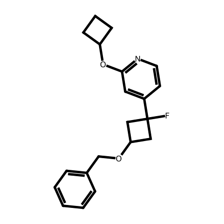 FC1(c2ccnc(OC3CCC3)c2)CC(OCc2ccccc2)C1